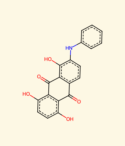 O=C1c2ccc(Nc3ccccc3)c(O)c2C(=O)c2c(O)ccc(O)c21